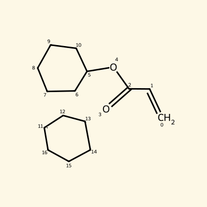 C=CC(=O)OC1CCCCC1.[CH]1CCCCC1